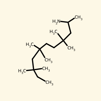 CCC(C)(C)CC(C)(C)CCC(C)(C)CC(C)N